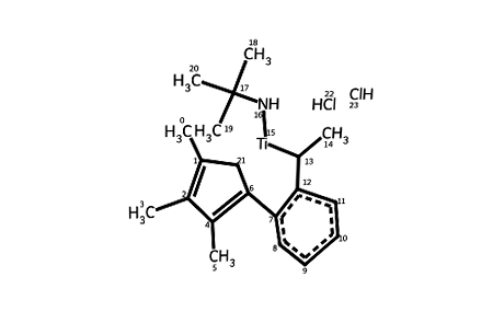 CC1=C(C)C(C)=C(c2ccccc2[CH](C)[Ti][NH]C(C)(C)C)C1.Cl.Cl